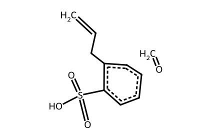 C=CCc1ccccc1S(=O)(=O)O.C=O